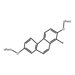 CCCCCOc1ccc2c(ccc3c(F)c(OCCCCC)ccc32)c1